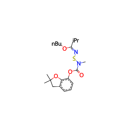 CCCCOC(=NSN(C)C(=O)Oc1cccc2c1OC(C)(C)C2)C(C)C